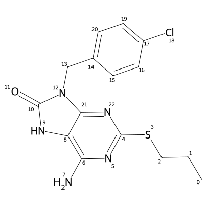 CCCSc1nc(N)c2[nH]c(=O)n(Cc3ccc(Cl)cc3)c2n1